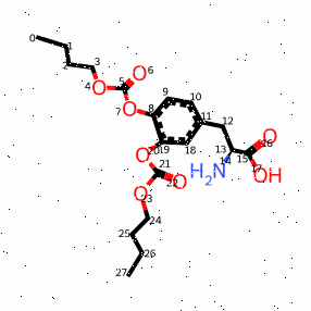 CCCCOC(=O)Oc1ccc(C[C@H](N)C(=O)O)cc1OC(=O)OCCCC